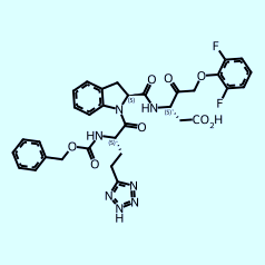 O=C(O)C[C@H](NC(=O)[C@@H]1Cc2ccccc2N1C(=O)[C@H](CCc1nn[nH]n1)NC(=O)OCc1ccccc1)C(=O)COc1c(F)cccc1F